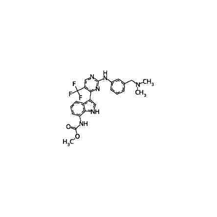 COC(=O)Nc1cccc2c(-c3nc(Nc4cccc(CN(C)C)c4)ncc3C(F)(F)F)c[nH]c12